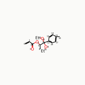 C=CC(=O)OC(C)C(OCC)(OCC)c1ccc(C)cc1